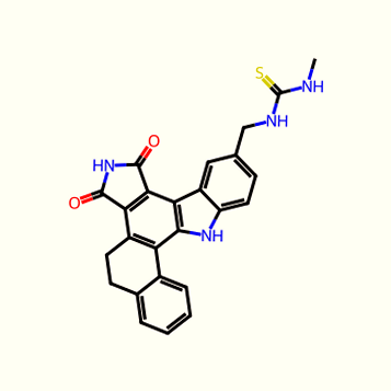 CNC(=S)NCc1ccc2[nH]c3c4c(c5c(c3c2c1)C(=O)NC5=O)CCc1ccccc1-4